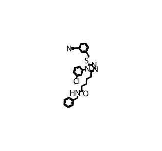 N#Cc1cccc(CSc2nnc(CCCCC(=O)NCc3ccccc3)n2-c2cccc(Cl)c2)c1